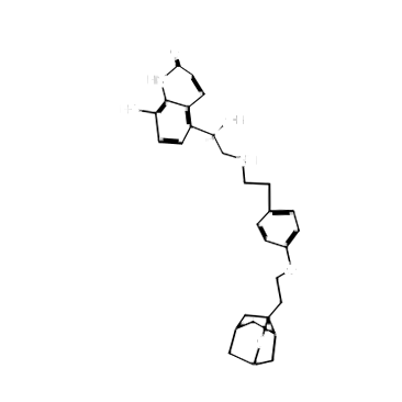 O=c1ccc2c([C@@H](O)CNCCc3ccc(OCCC45CC6CC(CC4C6)C5)cc3)ccc(O)c2[nH]1